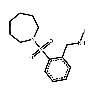 O=S(=O)(c1ccccc1CNI)N1CCCCCC1